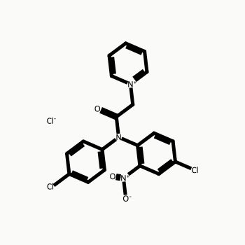 O=C(C[n+]1ccccc1)N(c1ccc(Cl)cc1)c1ccc(Cl)cc1[N+](=O)[O-].[Cl-]